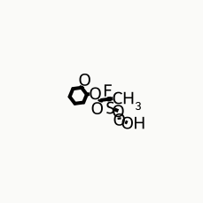 CC(F)(SOOO)C(=O)OC1CCCCC1=O